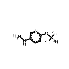 [2H]C([2H])([2H])Oc1ccc(NN)cn1